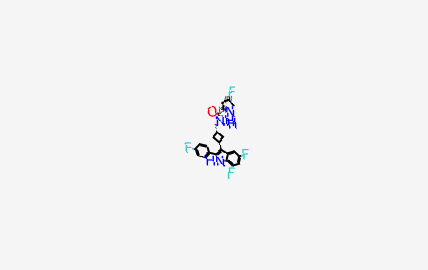 O=C(NC[C@H]1C[C@H](c2c(-c3ccc(F)cc3)[nH]c3c(F)cc(F)cc32)C1)[C@@H]1C[C@@H](F)CN1